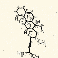 CC(C)C#CC[C@@H](C)[C@H]1CC[C@H]2[C@@H]3CC=C4CCCC[C@]4(C)[C@H]3CC[C@]12C